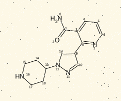 NC(=O)c1cccnc1-c1cnn(C2CCNCC2)c1